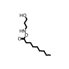 CCCCCCCCC(=O)ONCCCO